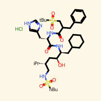 CCCCS(=O)(=O)NC[C@@H](C[C@H](O)[C@H](CC1CCCCC1)NC(=O)[C@H](Cc1c[nH]cn1)NC(=O)C(Cc1ccccc1)CS(=O)(=O)C(C)(C)C)C(C)C.Cl